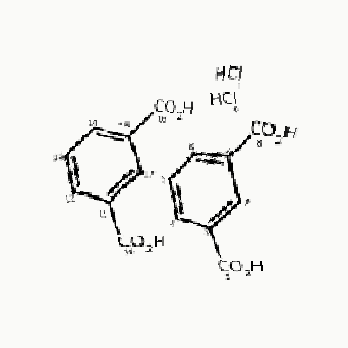 Cl.Cl.O=C(O)c1cccc(C(=O)O)c1.O=C(O)c1cccc(C(=O)O)c1